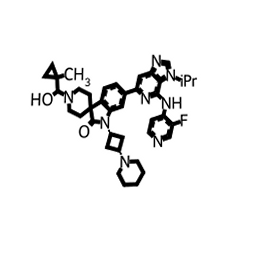 CC(C)n1cnc2cc(-c3ccc4c(c3)N([C@H]3C[C@@H](N5CCCCC5)C3)C(=O)C43CCN(C(O)C4(C)CC4)CC3)nc(Nc3ccncc3F)c21